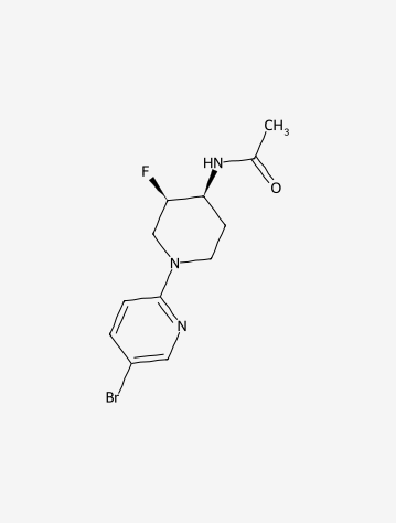 CC(=O)N[C@H]1CCN(c2ccc(Br)cn2)C[C@H]1F